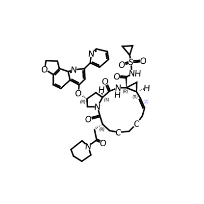 O=C1N[C@]2(C(=O)NS(=O)(=O)C3CC3)C[C@H]2/C=C\CCCCC[C@H](CC(=O)N2CCCCC2)C(=O)N2C[C@H](Oc3cc(-c4ccccn4)nc4c5c(ccc34)OCC5)C[C@@H]12